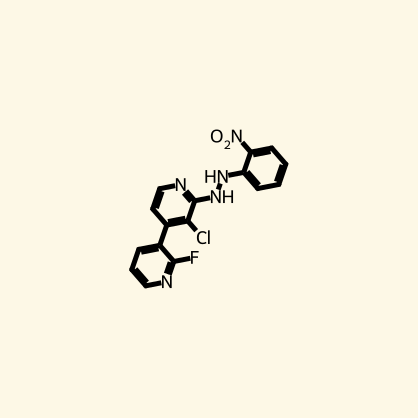 O=[N+]([O-])c1ccccc1NNc1nccc(-c2cccnc2F)c1Cl